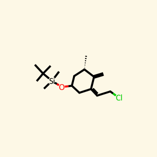 C=C1/C(=C\CCl)CC(O[Si](C)(C)C(C)(C)C)C[C@@H]1C